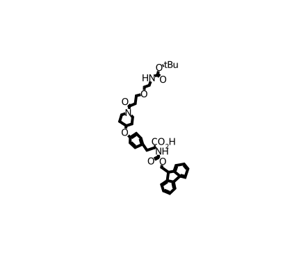 CC(C)(C)OC(=O)NCCOCCC(=O)N1CCC(Oc2ccc(C[C@H](NC(=O)OCC3c4ccccc4-c4ccccc43)C(=O)O)cc2)CC1